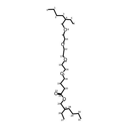 CCCCC(CC)COCCOCCOCCOCCCC(=O)OCC(CC)CCCC